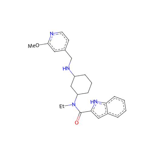 CCN(C(=O)c1cc2ccccc2[nH]1)C1CCCC(NCc2ccnc(OC)c2)C1